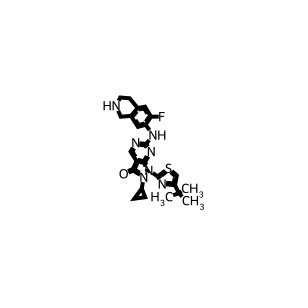 CC(C)(C)c1csc(-n2c3nc(Nc4cc5c(cc4F)CCNC5)ncc3c(=O)n2C2CC2)n1